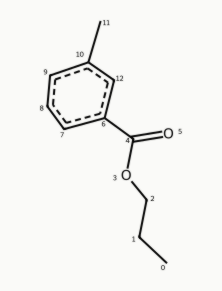 CCCOC(=O)c1cccc(C)c1